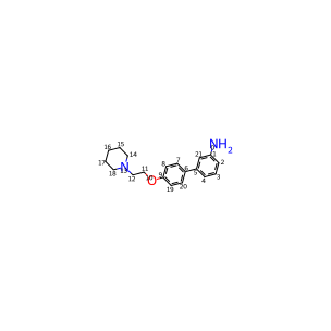 Nc1cccc(-c2ccc(OCCN3CCCCC3)cc2)c1